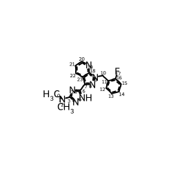 CN(C)c1n[nH]c(-c2nn(Cc3ccccc3F)c3ncccc23)n1